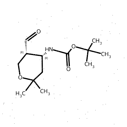 CC(C)(C)OC(=O)N[C@@H]1CC(C)(C)OC[C@@H]1C=O